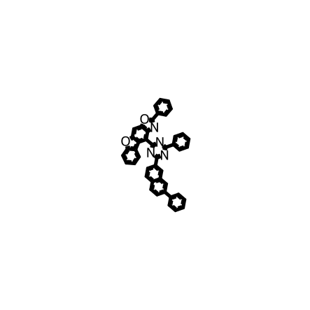 c1ccc(-c2ccc3ccc(-c4nc(-c5ccccc5)nc(-c5c6nc(-c7ccccc7)oc6cc6oc7ccccc7c56)n4)cc3c2)cc1